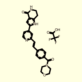 O=C(O)C(F)(F)F.O=C1NCCc2[nH]c(-c3ccnc(C=Cc4ccc(C(=O)N5CCOCC5)cc4)c3)cc21